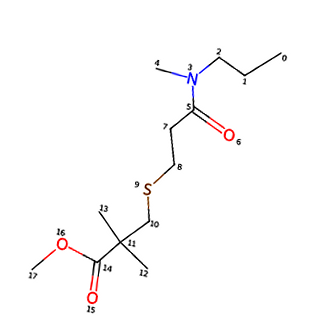 CCCN(C)C(=O)CCSCC(C)(C)C(=O)OC